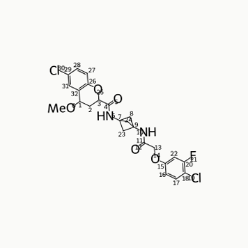 COC1CC(C(=O)NC23CC(NC(=O)COc4ccc(Cl)c(F)c4)(C2)C3)Oc2ccc(Cl)cc21